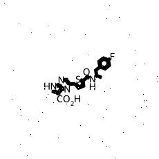 CC(Cc1ccc(F)cc1)NC(=O)c1ccc(-c2cnc3[nH]cc(C(=O)O)c3n2)s1